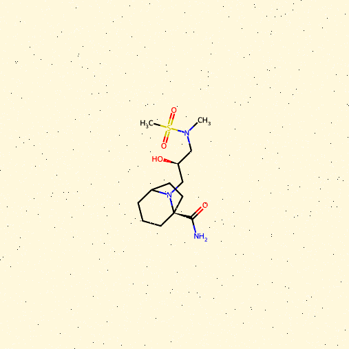 CN(C[C@H](O)CN1C2C[CH]C[C@@]1(C(N)=O)CC2)S(C)(=O)=O